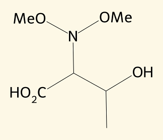 CON(OC)C(C(=O)O)C(C)O